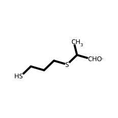 CC([C]=O)SCCCS